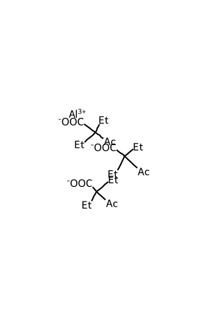 CCC(CC)(C(C)=O)C(=O)[O-].CCC(CC)(C(C)=O)C(=O)[O-].CCC(CC)(C(C)=O)C(=O)[O-].[Al+3]